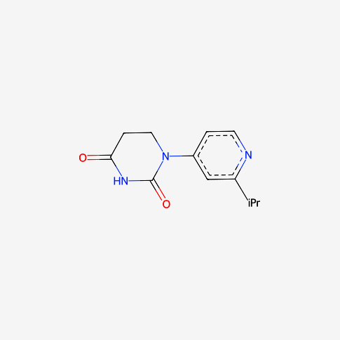 CC(C)c1cc(N2CCC(=O)NC2=O)ccn1